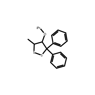 CC(C)OC1C(C)SSC1(c1ccccc1)c1ccccc1